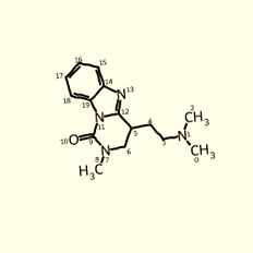 CN(C)CCC1CN(C)C(=O)n2c1nc1ccccc12